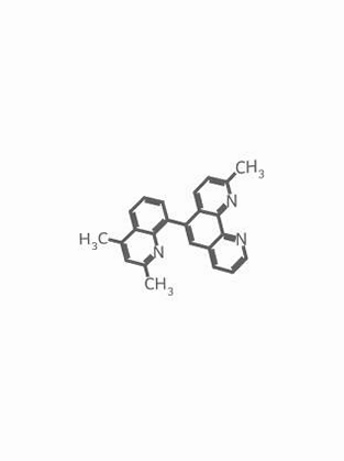 Cc1cc(C)c2cccc(-c3cc4cccnc4c4nc(C)ccc34)c2n1